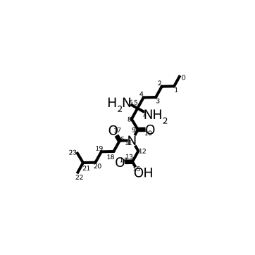 CCCCCC(N)(N)CC(=O)N(CC(=O)O)C(=O)CCCC(C)C